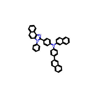 c1ccc(-n2c(-c3ccc(N(c4ccc(-c5ccc6ccccc6c5)cc4)c4ccc5ccccc5c4)cc3)nc3c4ccccc4ccc32)cc1